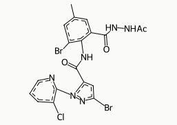 CC(=O)NNC(=O)c1cc(C)cc(Br)c1NC(=O)c1cc(Br)nn1-c1ncccc1Cl